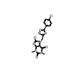 Cn1c(=O)c2c(nc(Cl)n2Cc2noc(-c3ccc(Cl)cc3)n2)n(C)c1=O